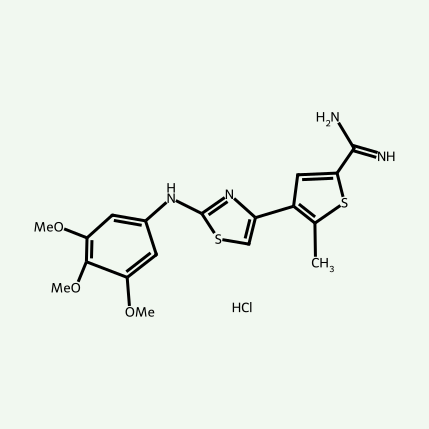 COc1cc(Nc2nc(-c3cc(C(=N)N)sc3C)cs2)cc(OC)c1OC.Cl